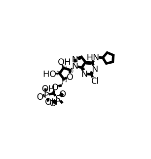 CS(=O)(=O)C(OC[C@H]1O[C@@H](n2ncc3c(NC4CCCC4)nc(Cl)nc32)[C@H](O)[C@@H]1O)P(=O)(O)O